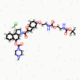 CN1CCN(C(=O)Oc2cc3c(c4ccccc24)[C@H](CCl)CN3C(=O)c2cc3cc(OCCNC(=O)OCCNC(=O)OC(C)(C)C)ccc3o2)CC1